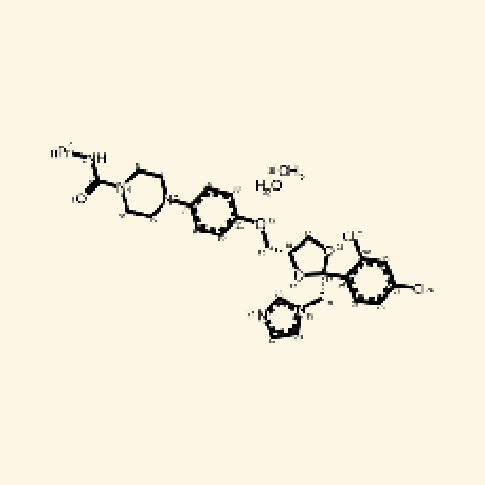 CCCNC(=O)N1CCN(c2ccc(OC[C@@H]3CO[C@@](Cn4ccnc4)(c4ccc(Cl)cc4Cl)O3)cc2)CC1.O.O